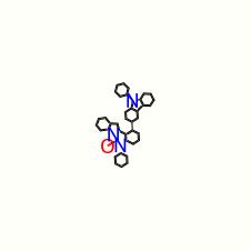 O=c1n(-c2ccccc2)c2cccc(-c3ccc4c(c3)c3ccccc3n4-c3ccccc3)c2c2cc3ccccc3n12